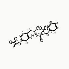 CCOC(=O)C(Cc1ccc(OS(C)(=O)=O)cc1)NC(=O)OCc1ccccc1